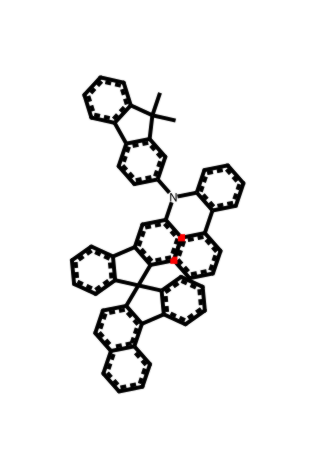 CC1(C)c2ccccc2-c2ccc(N(c3ccc4c(c3)-c3ccccc3C43c4ccccc4-c4c3ccc3ccccc43)c3ccccc3-c3ccccc3)cc21